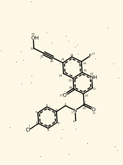 CN(Cc1ccc(Cl)cc1)C(=O)c1c[nH]c2c(F)cc(C#CCO)cc2c1=O